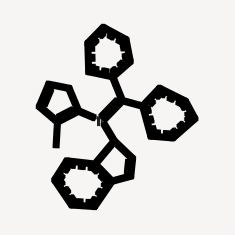 CC1=[C]([Ti](=[C](c2ccccc2)c2ccccc2)[CH]2C=Cc3ccccc32)CC=C1